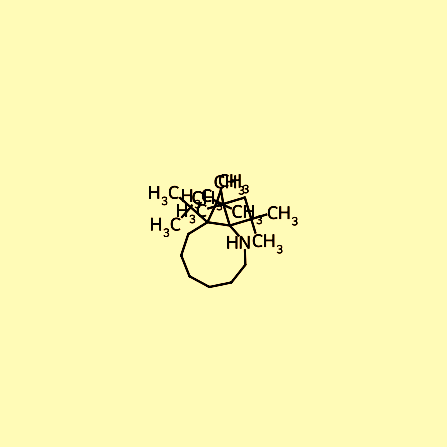 CC(C)(C)C1(C(C)(C)C)CCCCCCNC12C(C)(C)CC2(C)C